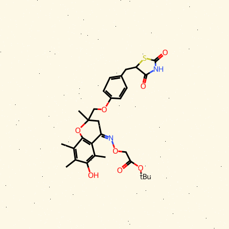 Cc1c(C)c2c(c(C)c1O)/C(=N\OCC(=O)OC(C)(C)C)CC(C)(COc1ccc(CC3SC(=O)NC3=O)cc1)O2